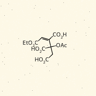 CCOC(=O)C=C(C(=O)O)C(CC(=O)O)(OC(C)=O)C(=O)O